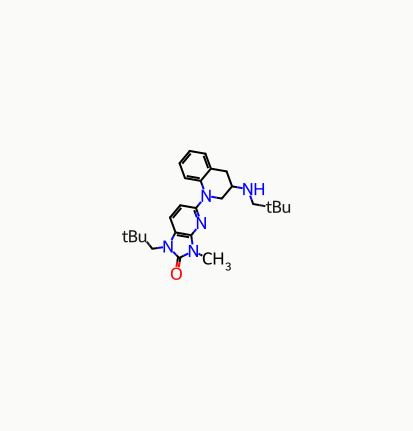 Cn1c(=O)n(CC(C)(C)C)c2ccc(N3CC(NCC(C)(C)C)Cc4ccccc43)nc21